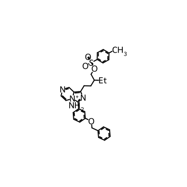 CCC(CCC1=C2C=NC=C[N+]2(N)C(c2cccc(OCc3ccccc3)c2)=N1)COS(=O)(=O)c1ccc(C)cc1